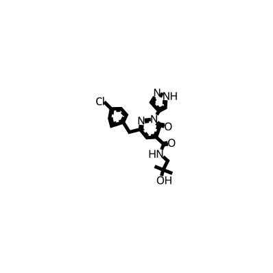 CC(C)(O)CNC(=O)c1cc(Cc2ccc(Cl)cc2)nn(-c2cn[nH]c2)c1=O